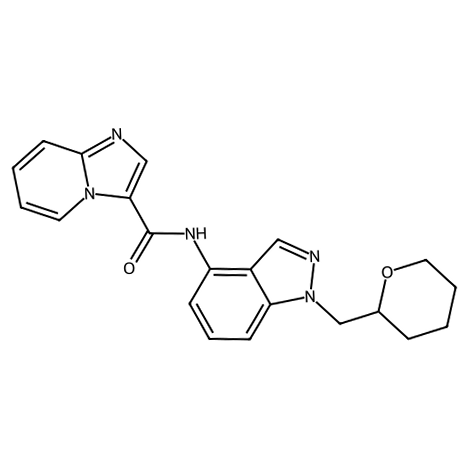 O=C(Nc1cccc2c1cnn2CC1CCCCO1)c1cnc2ccccn12